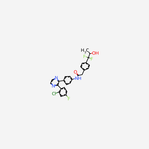 CC(O)C(F)(F)c1ccc(CC(=O)Nc2ccc(-c3nccnc3-c3ccc(F)cc3Cl)cc2)cc1